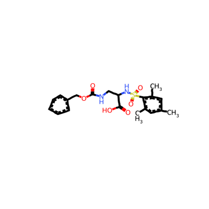 Cc1cc(C)c(S(=O)(=O)NC(CNC(=O)OCc2ccccc2)C(=O)O)c(C)c1